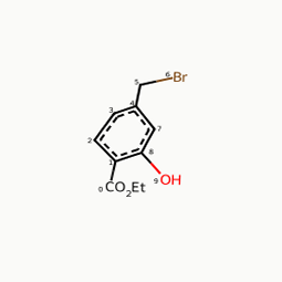 CCOC(=O)c1ccc(CBr)cc1O